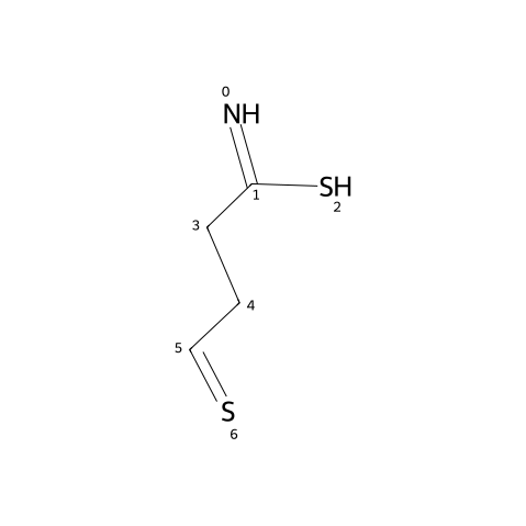 N=C(S)CCC=S